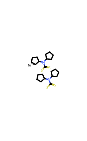 S=C([S-])N(C1CCCC1)C1CCCC1.S=C([S-])N(C1CCCC1)C1CCCC1.[Ni+2]